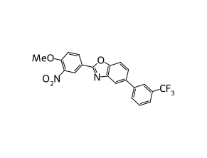 COc1ccc(-c2nc3cc(-c4cccc(C(F)(F)F)c4)ccc3o2)cc1[N+](=O)[O-]